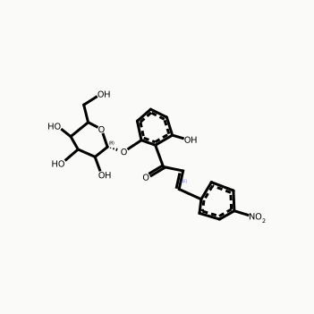 O=C(/C=C/c1ccc([N+](=O)[O-])cc1)c1c(O)cccc1O[C@H]1OC(CO)C(O)C(O)C1O